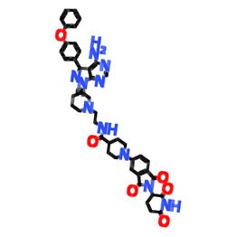 Nc1ncnc2c1c(-c1ccc(Oc3ccccc3)cc1)nn2[C@@H]1CCCN(CCNC(=O)C2CCN(c3ccc4c(c3)C(=O)N(C3CCC(=O)NC3=O)C4=O)CC2)C1